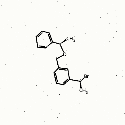 C[C@H](Br)c1cccc(CO[C@H](C)c2ccccc2)c1